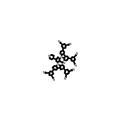 N#Cc1cc(C#N)cc(-c2ccc3c(c2)c2cc(-c4cc(C#N)cc(C#N)c4)ccc2n3-c2cc(-c3ccncc3)cc(-n3c4ccc(-c5cc(C#N)cc(C#N)c5)cc4c4cc(-c5cc(C#N)cc(C#N)c5)ccc43)c2C#N)c1